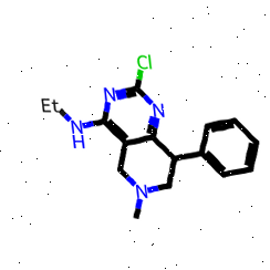 CCNc1nc(Cl)nc2c1CN(C)CC2c1ccccc1